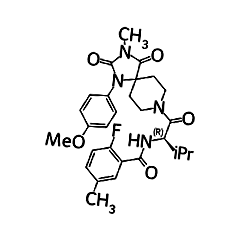 COc1ccc(N2C(=O)N(C)C(=O)C23CCN(C(=O)[C@H](NC(=O)c2cc(C)ccc2F)C(C)C)CC3)cc1